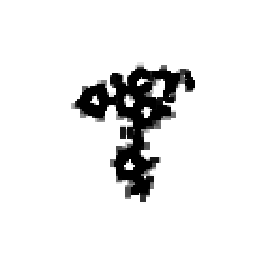 COC(=O)CN1CCC2(C1)C(=O)N(c1ccccc1)Cc1c(NCc3cccc(C(F)(F)F)c3F)nc(C)nc12